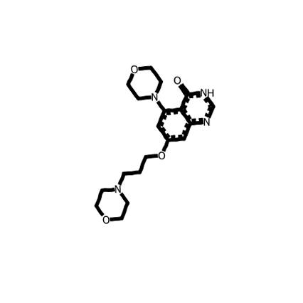 O=c1[nH]cnc2cc(OCCCN3CCOCC3)cc(N3CCOCC3)c12